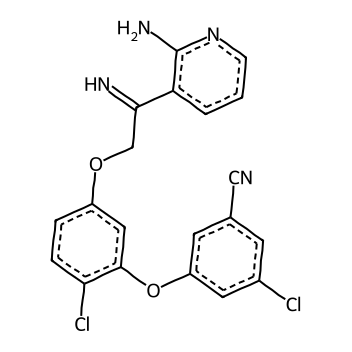 N#Cc1cc(Cl)cc(Oc2cc(OCC(=N)c3cccnc3N)ccc2Cl)c1